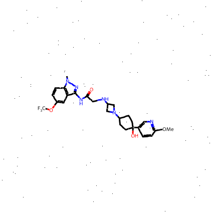 COc1ccc(C2(O)CCC(N3CC(NCC(=O)Nc4nn(C)c5ccc(OC(F)(F)F)cc45)C3)CC2)cn1